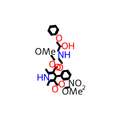 COCCOC(=O)C1=C(C)NC(C)=C(C(=O)OCCOC)C1c1cc([N+](=O)[O-])ccc1OCCNCC(O)COc1ccccc1